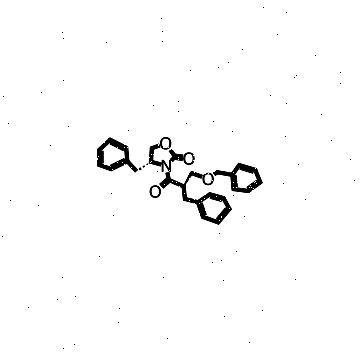 O=C1OC[C@@H](Cc2ccccc2)N1C(=O)[C@@H](COCc1ccccc1)Cc1ccccc1